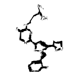 CC(O)CCNc1nc(-c2cc(-c3ccon3)n(Cc3ccccc3F)n2)ncc1F